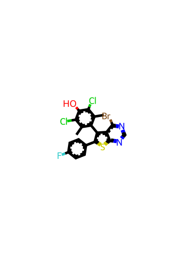 Cc1c(Cl)c(O)c(Cl)c(C)c1-c1c(-c2ccc(F)cc2)sc2ncnc(Br)c12